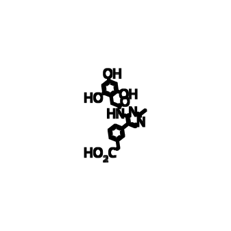 Cc1ncc(-c2cccc(CC(=O)O)c2)c(NC(=O)Cc2c(O)cc(O)cc2O)n1